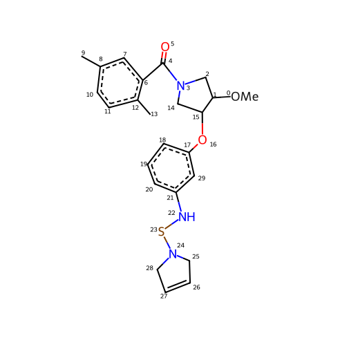 COC1CN(C(=O)c2cc(C)ccc2C)CC1Oc1cccc(NSN2CC=CC2)c1